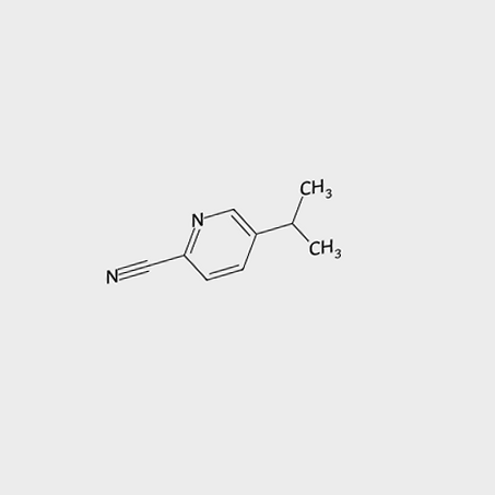 CC(C)c1ccc(C#N)nc1